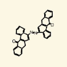 O=C1c2ccccc2Cc2cc(N=Nc3cc4c(c5ccccc35)C(=O)c3ccccc3C4)c3ccccc3c21